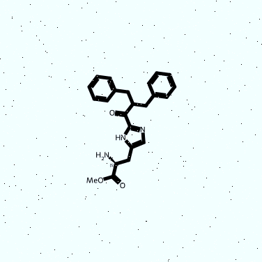 COC(=O)[C@@H](N)Cc1cnc(C(=O)C(Cc2ccccc2)Cc2ccccc2)[nH]1